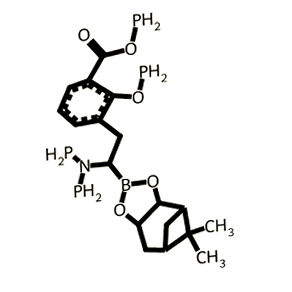 CC1(C)C2CC3OB(C(Cc4cccc(C(=O)OP)c4OP)N(P)P)OC3C1C2